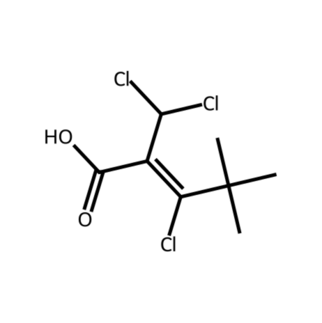 CC(C)(C)C(Cl)=C(C(=O)O)C(Cl)Cl